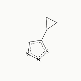 [c]1nnsc1C1CC1